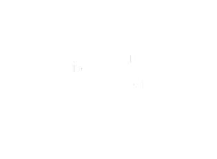 CC=[CH][K].O=[PH2]O